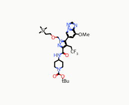 COc1cc(-c2c(CC(F)(F)F)c(C(=O)NC3CCN(C(=O)OC(C)(C)C)CC3)nn2COCC[Si](C)(C)C)cn2ncnc12